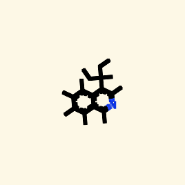 CCC(C)(CC)c1c(C)nc(C)c2c(C)c(C)c(C)c(C)c12